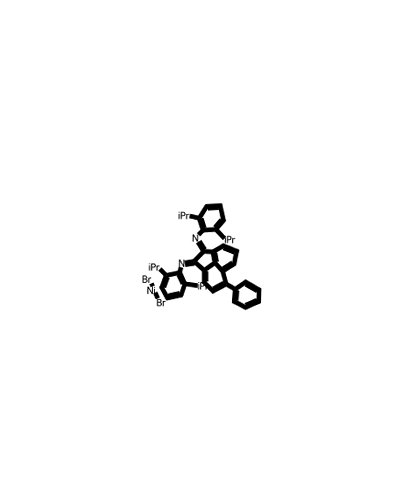 CC(C)c1cccc(C(C)C)c1N=C1C(=Nc2c(C(C)C)cccc2C(C)C)c2ccc(-c3ccccc3)c3cccc1c23.[Br][Ni][Br]